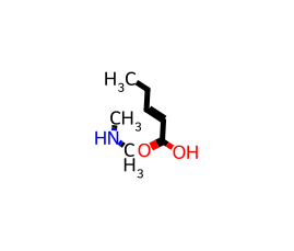 CCC=CC(=O)O.CNC